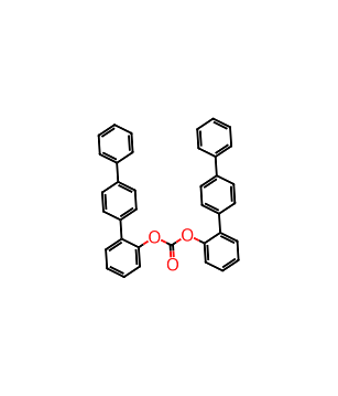 O=C(Oc1ccccc1-c1ccc(-c2ccccc2)cc1)Oc1ccccc1-c1ccc(-c2ccccc2)cc1